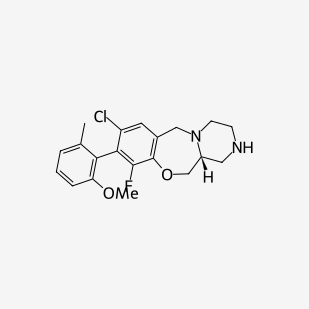 COc1cccc(C)c1-c1c(Cl)cc2c(c1F)OC[C@H]1CNCCN1C2